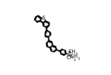 C[Si](C)(C)c1ccc(-c2ccc3ccc(-c4ccc(-c5ccc6sc7ccccc7c6c5)cc4)cc3c2)cc1